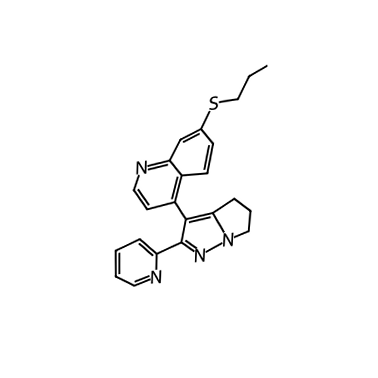 CCCSc1ccc2c(-c3c(-c4ccccn4)nn4c3CCC4)ccnc2c1